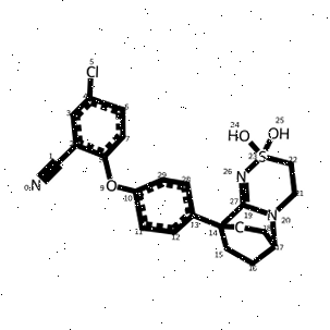 N#Cc1cc(Cl)ccc1Oc1ccc(C23CCC(CC2)N2CCS(O)(O)N=C23)cc1